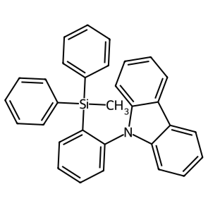 C[Si](c1ccccc1)(c1ccccc1)c1ccccc1-n1c2ccccc2c2ccccc21